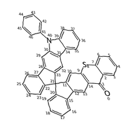 O=c1c2ccccc2sc2cc3c(cc12)-c1ccccc1C31c2ccccc2-c2cc3c(cc21)c1ccccc1n3-c1ccccc1